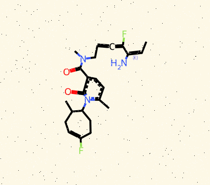 C/C=C(/N)C(F)=C=CCN(C)C(=O)c1ccc(C)n(C2CCC(F)=CCC2C)c1=O